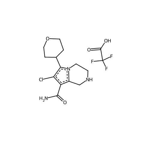 NC(=O)c1c(Cl)c(C2CCOCC2)n2c1CNCC2.O=C(O)C(F)(F)F